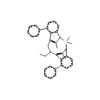 CCC1CC2=C(C)[CH](c3cccc(-c4ccccc4)c32)[Zr]([CH3])([CH3])[CH]2C(C)=C1c1c(-c3ccccc3)cccc12